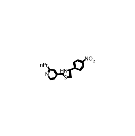 CCCc1cc(C2NC(c3ccc([N+](=O)[O-])cc3)=CS2)ccn1